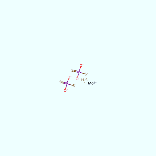 S.[Mo+6].[O-]P([O-])(=S)[S-].[O-]P([O-])(=S)[S-]